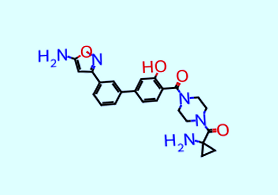 Nc1cc(-c2cccc(-c3ccc(C(=O)N4CCN(C(=O)C5(N)CC5)CC4)c(O)c3)c2)no1